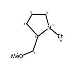 [CH2]CN1CCCC1COC